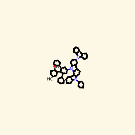 N#Cc1ccc(C#N)c(-c2c(-c3ccccc3)cc(-n3c4ccc(-n5c6ccccc6c6ccccc65)cc4c4ccc5c(c6ccccc6n5-c5ccccc5)c43)cc2-c2ccccc2)c1